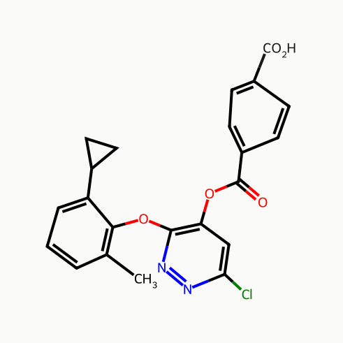 Cc1cccc(C2CC2)c1Oc1nnc(Cl)cc1OC(=O)c1ccc(C(=O)O)cc1